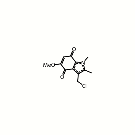 COC1=CC(=O)c2c(c(CCl)c(C)n2C)C1=O